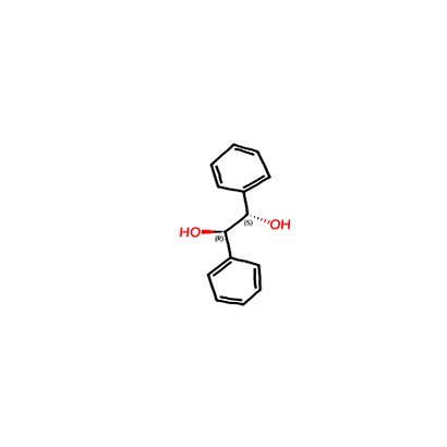 O[C@H](c1ccccc1)[C@@H](O)c1ccccc1